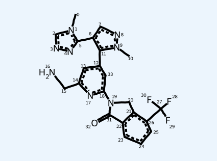 Cn1cnnc1-c1cnn(C)c1-c1cc(CN)nc(N2Cc3c(cccc3C(F)(F)F)C2=O)c1